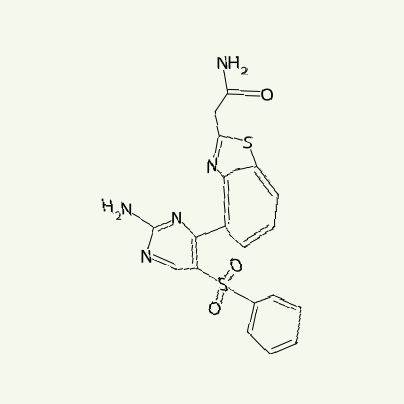 NC(=O)Cc1nc2c(-c3nc(N)ncc3S(=O)(=O)c3ccccc3)cccc2s1